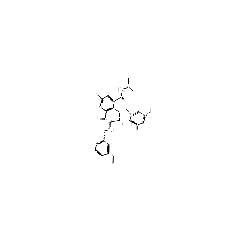 CCc1cccc(CNC[C@H](O)[C@@H](Cc2cc(F)cc(F)c2)c2c(C(N)=O)cc(C)cc2C(=O)NC(C)C)c1